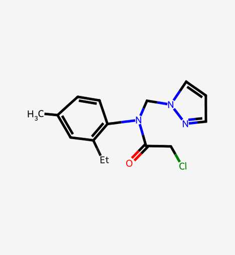 CCc1cc(C)ccc1N(Cn1cccn1)C(=O)CCl